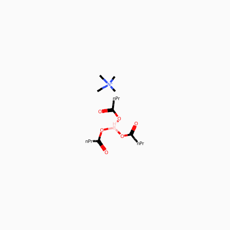 CCCC(=O)O[BH-](OC(=O)CCC)OC(=O)CCC.C[N+](C)(C)C